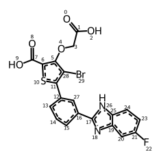 O=C(O)COc1c(C(=O)O)sc(-c2cccc(-c3nc4cc(F)ccc4[nH]3)c2)c1Br